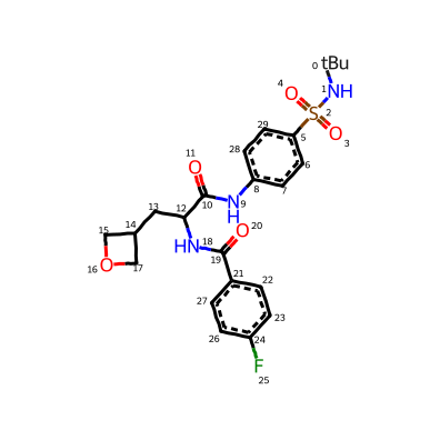 CC(C)(C)NS(=O)(=O)c1ccc(NC(=O)C(CC2COC2)NC(=O)c2ccc(F)cc2)cc1